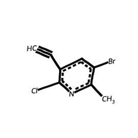 C#Cc1cc(Br)c(C)nc1Cl